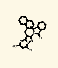 O=C1c2ccccc2C(=O)N1c1nn2c(O)cc(O)nc2c1Cc1cccc2ccccc12